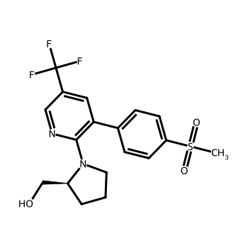 CS(=O)(=O)c1ccc(-c2cc(C(F)(F)F)cnc2N2CCC[C@H]2CO)cc1